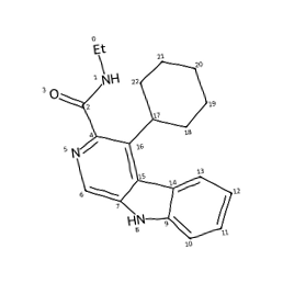 CCNC(=O)c1ncc2[nH]c3ccccc3c2c1C1CCCCC1